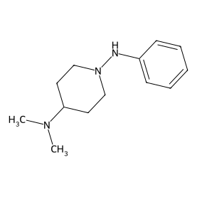 CN(C)C1CCN(Nc2ccccc2)CC1